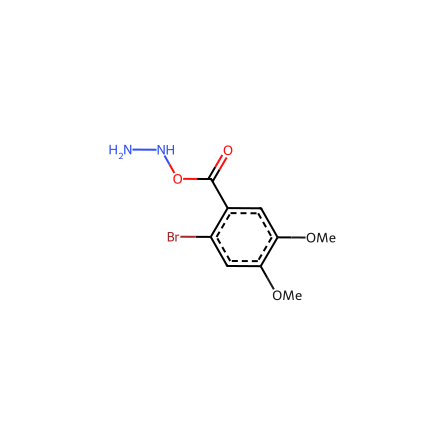 COc1cc(Br)c(C(=O)ONN)cc1OC